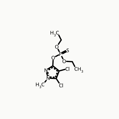 CCOP(=S)(OCC)Oc1nn(C)c(Cl)c1Cl